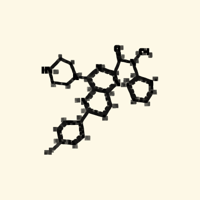 CN(C(=O)c1nc(N2CCNCC2)c2nc(-c3ccc(F)cc3)ccc2n1)c1ccccc1